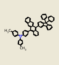 Cc1ccc(N(c2ccc(C)cc2)c2ccc(-c3c4ccccc4c(-c4ccc5c(c4)-c4ccccc4C5(c4ccccc4)c4ccccc4)c4cc5ccccc5cc34)cc2)cc1